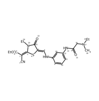 CCOC(=O)C(C#N)=c1sc(=CNc2cccc(NC(=O)CN(C)CC)c2)c(=O)n1CC